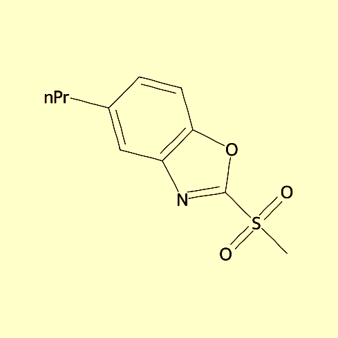 CCCc1ccc2oc(S(C)(=O)=O)nc2c1